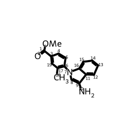 COC(=O)c1ccc(-n2cc(N)c3ccccc32)c(C)c1